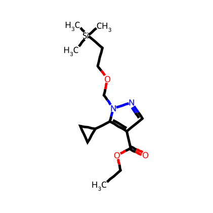 CCOC(=O)c1cnn(COCC[Si](C)(C)C)c1C1CC1